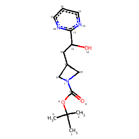 CC(C)(C)OC(=O)N1CC(CC(O)c2ncccn2)C1